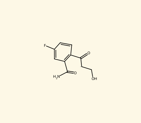 NC(=O)c1cc(F)ccc1C(=O)[CH]CO